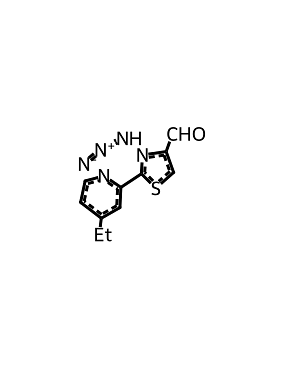 CCc1ccnc(-c2nc(C=O)cs2)c1.[N-]=[N+]=N